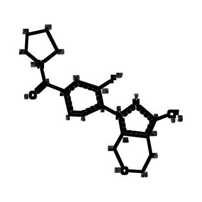 O=C(c1ccc(-n2nc(C(F)(F)F)c3c2COCC3)c(F)c1)N1CCCC1